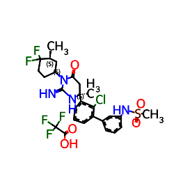 C[C@H]1C[C@@H](N2C(=N)N[C@](C)(c3cccc(-c4cccc(NS(C)(=O)=O)c4)c3Cl)CC2=O)CCC1(F)F.O=C(O)C(F)(F)F